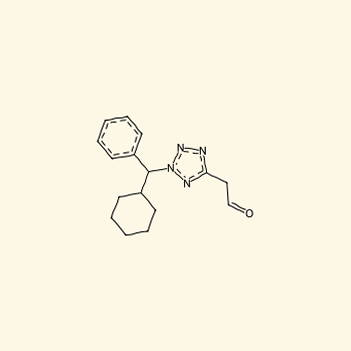 O=CCc1nnn(C(c2ccccc2)C2CCCCC2)n1